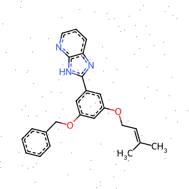 CC(C)=CCOc1cc(OCc2ccccc2)cc(-c2nc3cccnc3[nH]2)c1